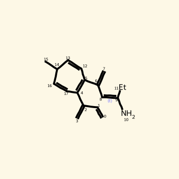 C=CC(=C)C1=C(C(=C)/C=C(/N)CC)C=CC(C)C=C1